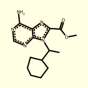 COC(=O)c1nc2c(N)ncnc2n1C(C)C1CCCCC1